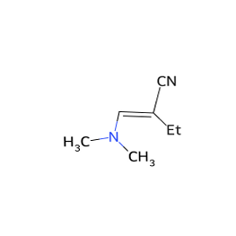 CC/C(C#N)=C\N(C)C